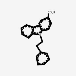 O=C(O)c1ccc2c(c1)c1ccccc1n2CCc1ccccc1